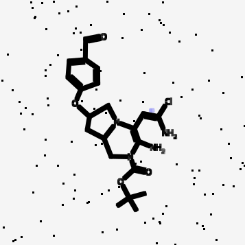 CC(C)(C)OC(=O)N1CC2CC(Oc3ccc(C=O)cc3)CN2C(/C=C(\N)Cl)=C1N